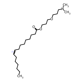 CCCCCC/C=C\CCCCCCCC(=O)OCCCOCCCN(C)C